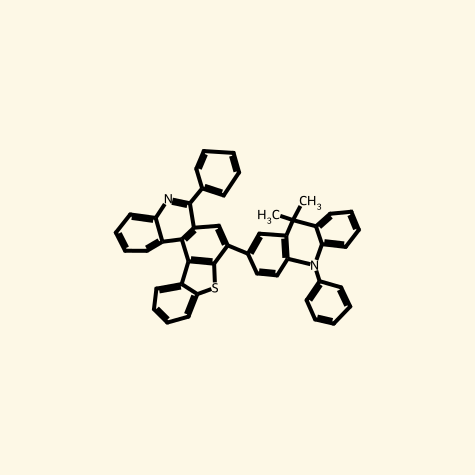 CC1(C)c2ccccc2N(c2ccccc2)c2ccc(-c3cc4c(-c5ccccc5)nc5ccccc5c4c4c3sc3ccccc34)cc21